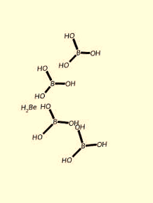 OB(O)O.OB(O)O.OB(O)O.OB(O)O.[BeH2]